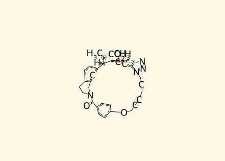 Cc1c2ccc3c1nnn3CCCCCCOc1ccc(cc1)C(=O)N1CCc3ccc(cc3C1)[C@@H]2[C@H](C)C(=O)O